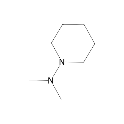 CN(C)N1CCCCC1